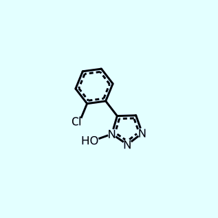 On1nncc1-c1ccccc1Cl